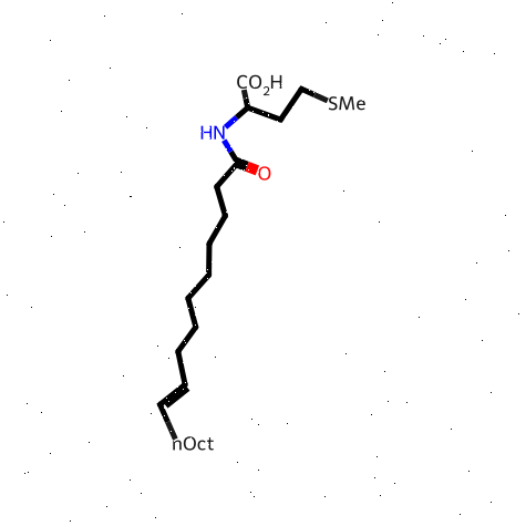 CCCCCCCCC=CCCCCCCCC(=O)NC(CCSC)C(=O)O